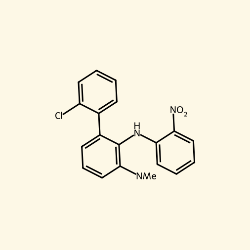 CNc1cccc(-c2ccccc2Cl)c1Nc1ccccc1[N+](=O)[O-]